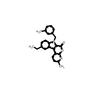 CCc1ccc2c(c1)c1c3ccc(C)nc3oc(=O)c1n2Cc1cccc(C)c1